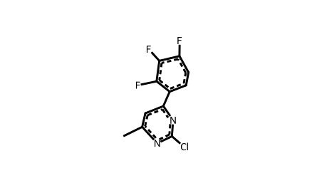 Cc1cc(-c2ccc(F)c(F)c2F)nc(Cl)n1